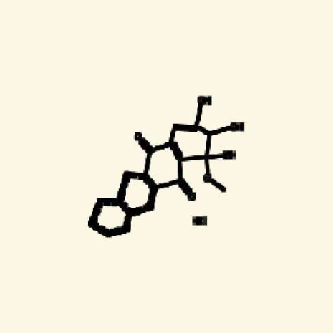 COC1(O)C2=C(C=C(O)C1O)C(=O)c1cc3ccccc3cc1C2=O.Cl